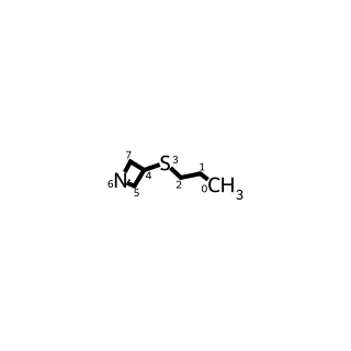 CCCSC1C[N]C1